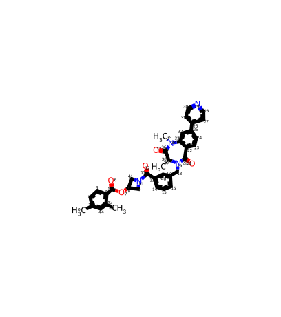 Cc1ccc(C(=O)OC2CN(C(=O)c3cccc(CN4C(=O)c5ccc(-c6ccncc6)cc5N(C)C(=O)[C@H]4C)c3)C2)c(C)c1